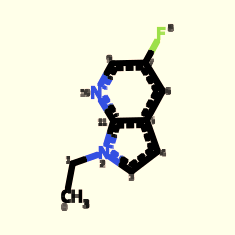 CCn1ccc2cc(F)cnc21